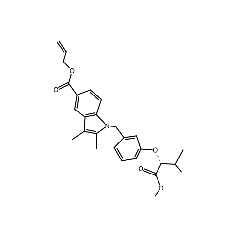 C=CCOC(=O)c1ccc2c(c1)c(C)c(C)n2Cc1cccc(O[C@@H](C(=O)OC)C(C)C)c1